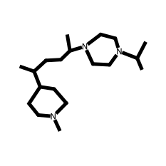 CC(CCC(C)N1CCN(C(C)C)CC1)C1CCN(C)CC1